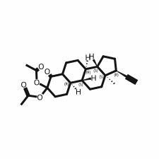 C#C[C@@H]1CC[C@H]2[C@@H]3CCC4C(=O)C(OC(C)=O)(OC(C)=O)CC[C@@H]4[C@H]3CC[C@]12C